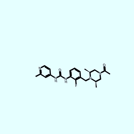 CC(=O)N1C[C@@H](C)N(Cc2cccc(NC(=O)Nc3ccnc(C)c3)c2F)[C@@H](C)C1